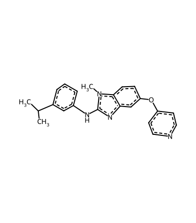 CC(C)c1cccc(Nc2nc3cc(Oc4ccncc4)ccc3n2C)c1